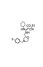 CCOC(=O)C(C#N)=C(NCC1CN(Cc2ccc(F)cc2)CCO1)NC1CCCCC1